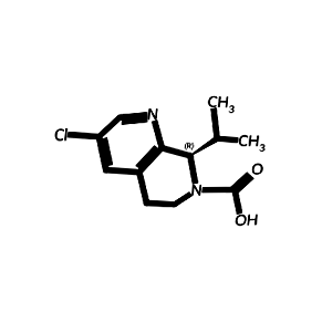 CC(C)[C@@H]1c2ncc(Cl)cc2CCN1C(=O)O